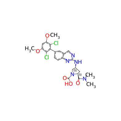 COc1cc(OC)c(Cl)c(-c2ccc3nc(N[C@H]4C[C@@H](C(=O)N(C)C)N(C(=O)O)C4)ncc3c2)c1Cl